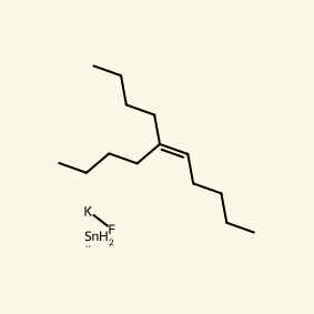 CCCCC=C(CCCC)CCCC.[F][K].[SnH2]